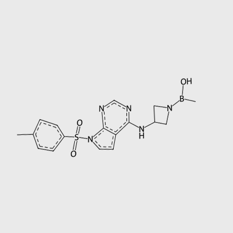 CB(O)N1CC(Nc2ncnc3c2ccn3S(=O)(=O)c2ccc(C)cc2)C1